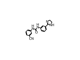 N#Cc1cccc(NC(=O)Nc2cccc(C3=NCCN3)c2)c1